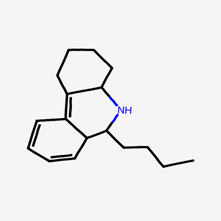 CCCCC1NC2CCCCC2=C2C=CC=CC21